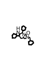 O=C1N(Cc2ccccc2)CC2Cc3c([nH]c4ccccc34)C(c3ccccc3)N12